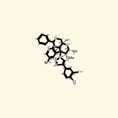 CO[C@H]1[C@@H](S)O[C@@H]2COC(c3ccccc3)O[C@@H]2C1(c1cc(Br)cnc1C#N)n1cc(-c2ccc(Cl)c(F)c2)nn1